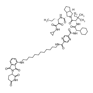 CCC[C@H](NC(=O)[C@@H]1C2CCC[C@H]2CN1C(=O)[C@@H](NC(=O)[C@@H](NC(=O)c1cnc(C(=O)NCCCCCCCCCCCCNc2cccc3c2C(=O)N(C2CCC(=O)NC2=O)C3=O)cn1)C1CCCCC1)C(C)(C)C)C(=O)C(=O)NC1CC1